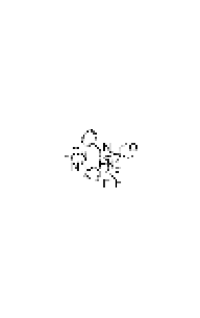 Cc1nc(-c2cccc(C(NCC3(c4nc(-c5ccccc5)cs4)CCOCC3)C(F)(F)F)c2)no1